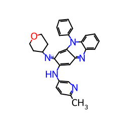 Cc1ccc(Nc2cc3nc4ccccc4n(-c4ccccc4)c-3c/c2=N\C2CCOCC2)cn1